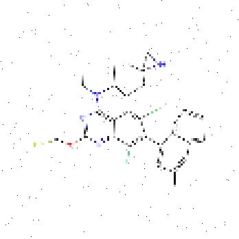 CCN(c1nc(OCS)nc2c(F)c(-c3cc(C)cc4ccccc34)c(Cl)cc12)C(C)CCC1(C)CN1